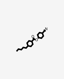 CCCCCC1CCC(C(=O)OC2CCC(C#N)CC2)CC1